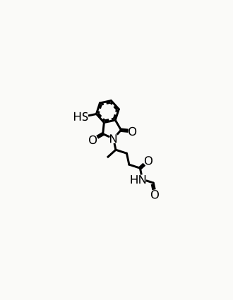 CC(CCC(=O)NC=O)N1C(=O)c2cccc(S)c2C1=O